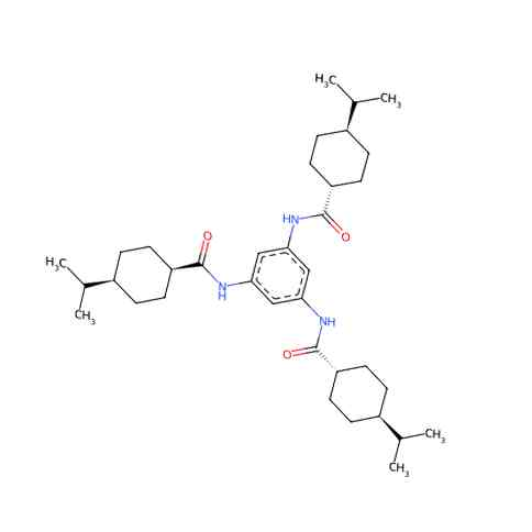 CC(C)[C@H]1CC[C@@H](C(=O)Nc2cc(NC(=O)[C@H]3CC[C@H](C(C)C)CC3)cc(NC(=O)[C@H]3CC[C@H](C(C)C)CC3)c2)CC1